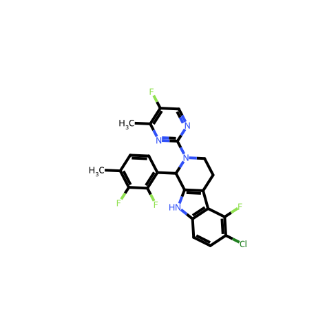 Cc1ccc(C2c3[nH]c4ccc(Cl)c(F)c4c3CCN2c2ncc(F)c(C)n2)c(F)c1F